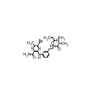 C=CC(=O)N(C)C(C)C(=O)NCCc1cccc(Nc2nc(C3CC3)c(C)nc2C(N)=O)c1